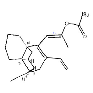 C=CC1=C(/C=C(\C)OC(=O)C(C)(C)C)[C@]23CCCC[C@@H]2[C@H](C1)N(C)CC3